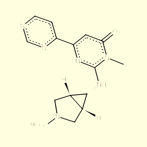 Cn1c(N[C@@H]2[C@@H]3CN(C(=O)O)C[C@@H]32)nc(-c2ccncn2)cc1=O